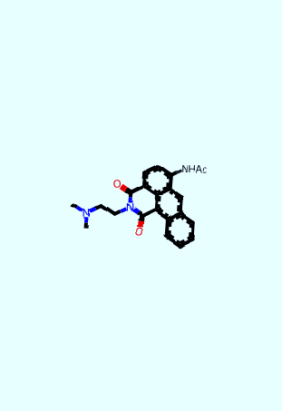 CC(=O)Nc1ccc2c3c(c4ccccc4cc13)C(=O)N(CCN(C)C)C2=O